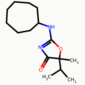 CC(C)C1(C)OC(NC2CCCCCCC2)=NC1=O